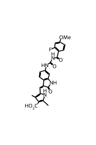 COc1ccc(C(=O)NC(=O)Nc2ccc3c(c2)NC(=O)/C3=C\c2[nH]c(C)c(C(=O)O)c2C)c(F)c1